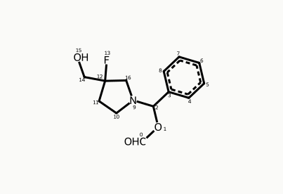 O=COC(c1ccccc1)N1CCC(F)(CO)C1